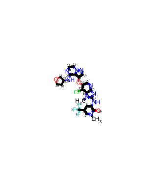 Cn1cc(C(F)(F)F)cc(Nc2nc3ncc(Oc4cnn5ccnc(N[C@H]6CCOC6)c45)c(Cl)c3n2C)c1=O